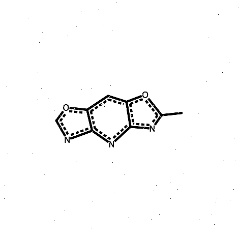 Cc1nc2nc3ncoc3cc2o1